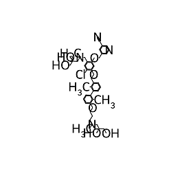 Cc1c(COc2cc(OCc3cncc(C#N)c3)c(CN(C)C[C@H](O)CO)cc2Cl)cccc1-c1cccc(OCCCN(C)C[C@H](O)CO)c1C